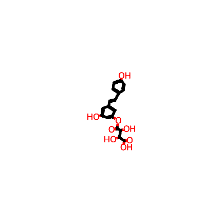 O=C(O)C(O)C(O)C(=O)Oc1cc(O)cc(/C=C/c2ccc(O)cc2)c1